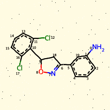 Nc1cccc(C2=NOC(c3c(Cl)cccc3Cl)C2)c1